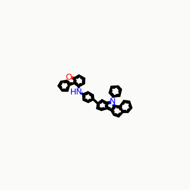 c1ccc(-n2c3cc(-c4ccc(Nc5cccc6oc7ccccc7c56)cc4)ccc3c3ccc4ccccc4c32)cc1